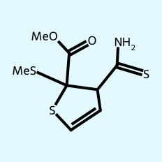 COC(=O)C1(SC)SC=CC1C(N)=S